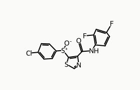 O=C(Nc1ccc(F)cc1F)c1ncsc1[S+]([O-])c1ccc(Cl)cc1